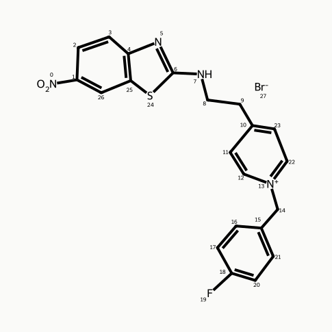 O=[N+]([O-])c1ccc2nc(NCCc3cc[n+](Cc4ccc(F)cc4)cc3)sc2c1.[Br-]